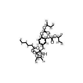 CCCCCC(=O)O[C@](Cc1ccc(OC(=O)OC(C)CC)c(OC(=O)OC(C)CC)c1)(NC(C)CC)C(=O)O